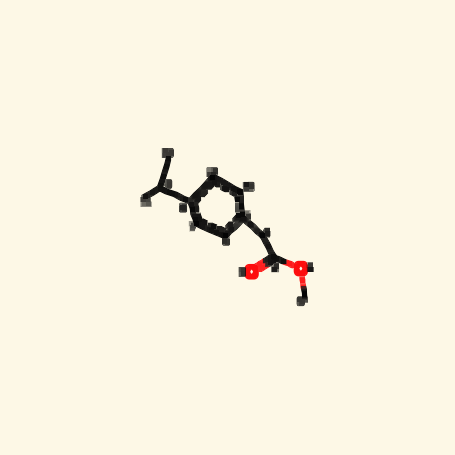 COC(=O)Cc1ccc(C(C)C)cc1